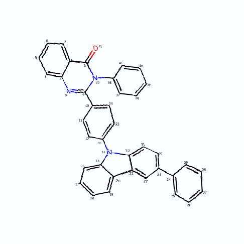 O=c1c2ccccc2nc(-c2ccc(-n3c4ccccc4c4cc(-c5ccccc5)ccc43)cc2)n1-c1ccccc1